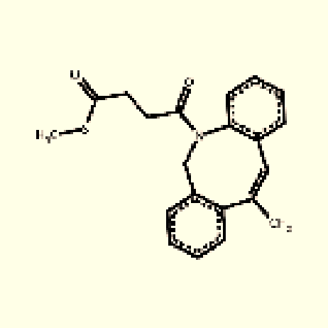 CSC(=O)CCC(=O)N1Cc2ccccc2/C(C)=C\c2ccccc21